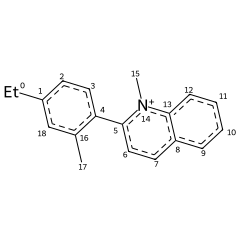 CCc1ccc(-c2ccc3ccccc3[n+]2C)c(C)c1